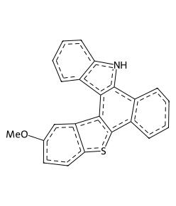 COc1ccc2sc3c4ccccc4c4[nH]c5ccccc5c4c3c2c1